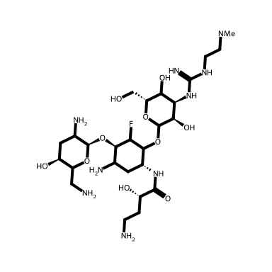 CNCCNC(=N)N[C@@H]1C(O)[C@@H](CO)OC(OC2C(F)[C@H](O[C@H]3OC(CN)[C@@H](O)CC3N)C(N)C[C@H]2NC(=O)[C@@H](O)CCN)[C@@H]1O